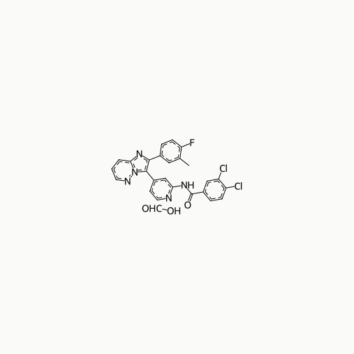 Cc1cc(-c2nc3cccnn3c2-c2ccnc(NC(=O)c3ccc(Cl)c(Cl)c3)c2)ccc1F.O=CO